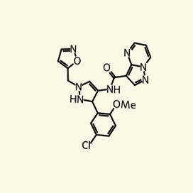 COc1ccc(Cl)cc1C1NN(Cc2ccno2)C=C1NC(=O)c1cnn2cccnc12